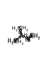 C[SiH](C)c1ccc(-c2ccc(N(c3ccc(-c4ccc([Si](C)(C)C)cc4)cc3)c3ccc(-c4ccc5c(c4)Oc4ccccc4N5c4ccc([Si](C)(C)C)cc4)cc3)cc2)cc1